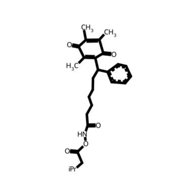 CC1=C(C)C(=O)C(C(CCCCCC(=O)NOC(=O)CC(C)C)c2ccccc2)=C(C)C1=O